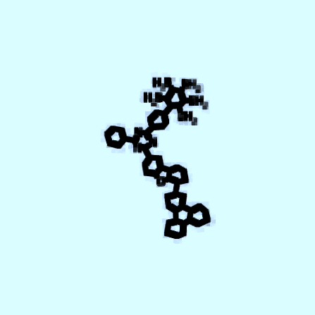 Bc1c(B)c(B)c(-c2ccc(-c3nc(-c4ccccc4)nc(-c4ccc5oc6c(-c7ccc8c9ccccc9c9ccccc9c8c7)cccc6c5c4)n3)cc2)c(B)c1B